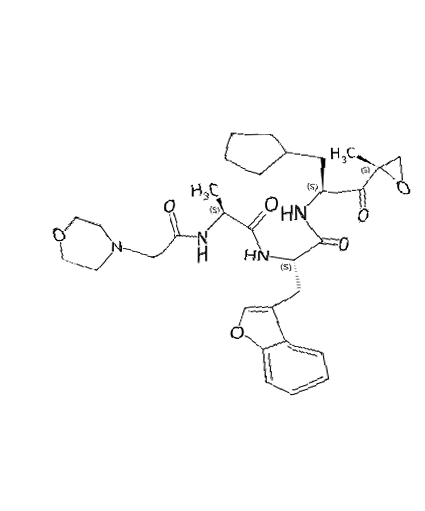 C[C@H](NC(=O)CN1CCOCC1)C(=O)N[C@@H](Cc1coc2ccccc12)C(=O)N[C@@H](CC1CCCC1)C(=O)[C@]1(C)CO1